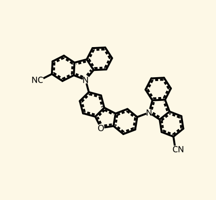 N#Cc1ccc2c3ccccc3n(-c3ccc4oc5ccc(-n6c7ccccc7c7ccc(C#N)cc76)cc5c4c3)c2c1